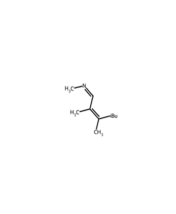 CCC(C)/C(C)=C(C)\C=N/C